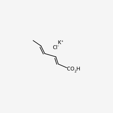 CC=CC=CC(=O)O.[Cl-].[K+]